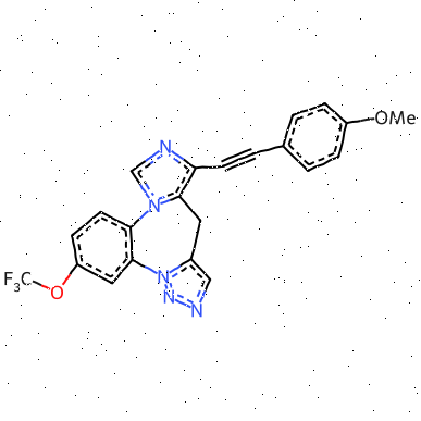 COc1ccc(C#Cc2ncn3c2Cc2cnnn2-c2cc(OC(F)(F)F)ccc2-3)cc1